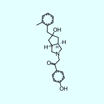 Cc1ccccc1CC1(O)C[C@H]2CN(CC(=O)c3ccc(O)cc3)C[C@H]2C1